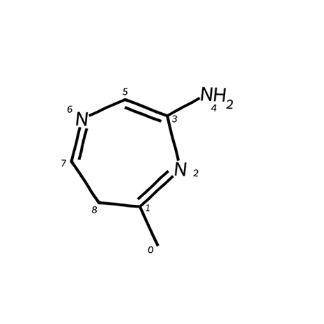 CC1=NC(N)=CN=CC1